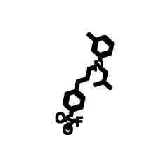 Cc1cccc(N(CCCc2ccc(S(=O)(=O)F)cc2)CC(C)C)c1